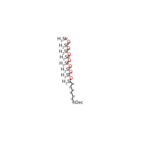 CCCCCCCCCCCCCCCC[SiH2]O[SiH2]O[SiH2]O[SiH2]O[SiH2]O[SiH2]O[SiH2]O[SiH3]